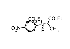 CCOC(=O)C(C)[N+](CC)(C(=O)OCC)c1ccc([N+](=O)[O-])cc1